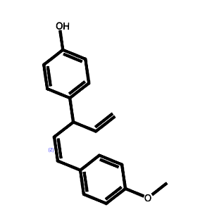 C=CC(/C=C\c1ccc(OC)cc1)c1ccc(O)cc1